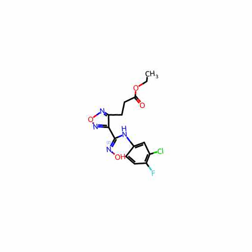 CCOC(=O)CCc1nonc1/C(=N/O)Nc1ccc(F)c(Cl)c1